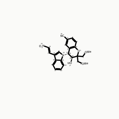 COCC1(COC)Oc2ccc(C#N)cc2[C@@H](n2cc(C=C[N+](=O)[O-])c3ccccc32)[C@@H]1O